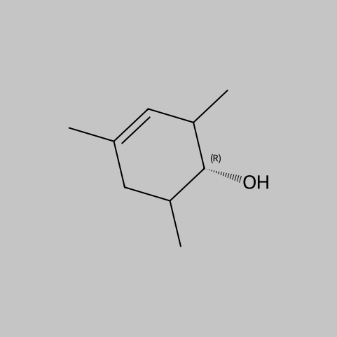 CC1=CC(C)[C@H](O)C(C)C1